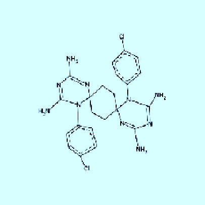 NC1=NC2(CCC3(CC2)N=C(N)N=C(N)N3c2ccc(Cl)cc2)N(c2ccc(Cl)cc2)C(N)=N1